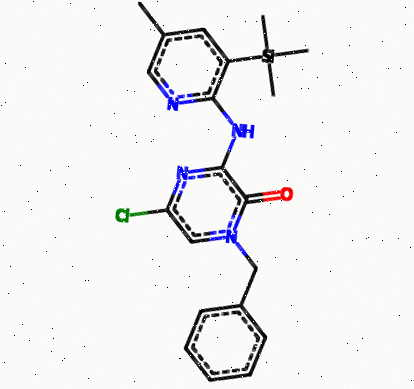 Cc1cnc(Nc2nc(Cl)cn(Cc3ccccc3)c2=O)c([Si](C)(C)C)c1